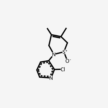 CC1=C(C)C[S+]([O-])N(c2cccnc2Cl)C1